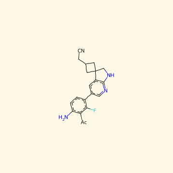 CC(=O)c1c(N)ccc(-c2cnc3c(c2)C2(CN3)CC(CC#N)C2)c1F